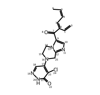 C=C/C(=C\C=C/C)C(=O)c1cnc2n1CCN(c1cn[nH]c(=O)c1Cl)C2